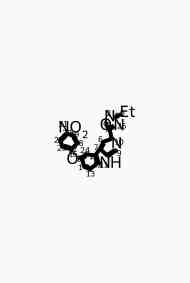 CCc1noc(-c2cc3c(cn2)[nH]c2ccc(Oc4ccc([N+](=O)[O-])cc4)cc23)n1